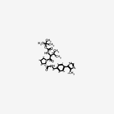 Cc1ncsc1-c1ccc(CNC(=O)[C@@H]2CCCN2C(=O)C(NC(=O)OC(C)(C)C)C(C)C)cc1